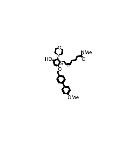 CNC(=O)CCC/C=C\C[C@@H]1[C@@H](N2CCOCC2)[C@H](O)C[C@@H]1OCc1ccc(-c2ccc(OC)cc2)cc1